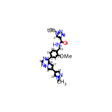 COc1cc(-c2ncnn3cc(-c4cnn(C)c4)cc23)ccc1CNC(=O)c1cn(C(C)(C)C)nn1